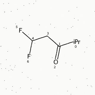 CC(C)C(=O)CC(F)F